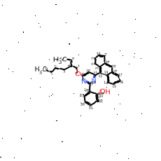 CCCCC(CC)COc1cc(-c2c3ccccc3cc3ccccc23)nc(-c2ccccc2O)n1